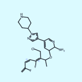 C=C(F)/C=C\C(F)=C(/CCl)C(C)OC1C=C(c2cnn(C3CCNCC3)c2)C=NC1N